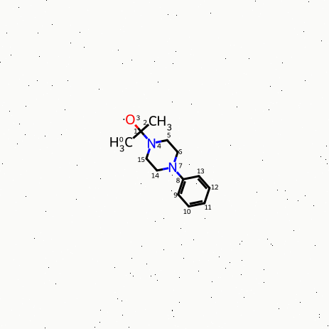 CC(C)([O])N1CCN(c2ccccc2)CC1